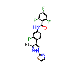 CCc1nn(-c2nccs2)cc1-c1ccc(NC(=O)c2c(F)cc(F)cc2F)cc1F